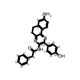 Nc1ccc2c(c1)CCc1nc(NC(=O)Cc3ccccc3)c(-c3ccc(O)cc3)nc1-2